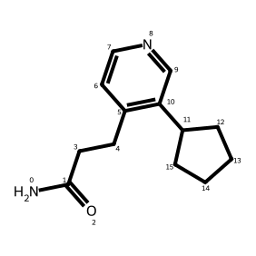 NC(=O)CCc1ccncc1C1CCCC1